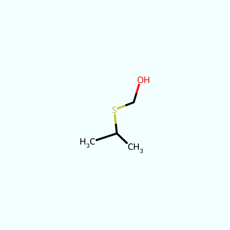 CC(C)SCO